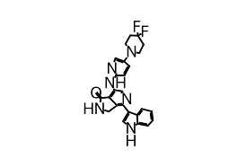 O=C1NCc2c(-c3c[nH]c4ccccc34)ncc(Nc3ccc(N4CCC(F)(F)CC4)cn3)c21